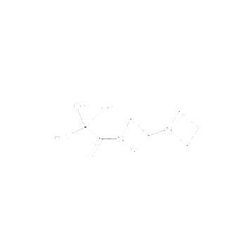 CC(C)(C)C(=O)N1CC(N2CCC2)C1